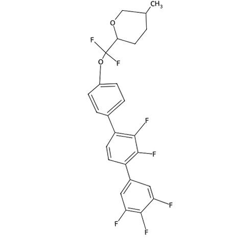 CC1CCC(C(F)(F)Oc2ccc(-c3ccc(-c4cc(F)c(F)c(F)c4)c(F)c3F)cc2)OC1